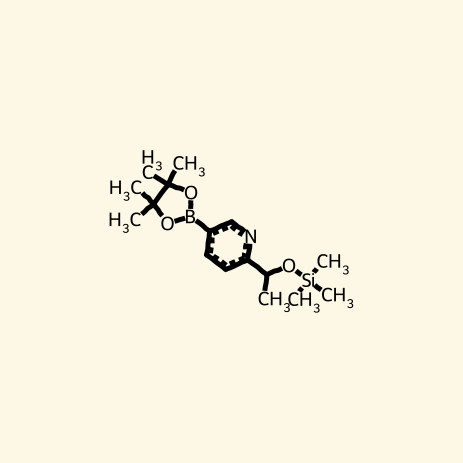 CC(O[Si](C)(C)C)c1ccc(B2OC(C)(C)C(C)(C)O2)cn1